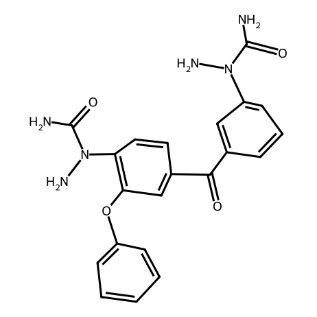 NC(=O)N(N)c1cccc(C(=O)c2ccc(N(N)C(N)=O)c(Oc3ccccc3)c2)c1